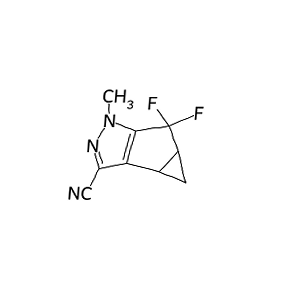 Cn1nc(C#N)c2c1C(F)(F)C1CC21